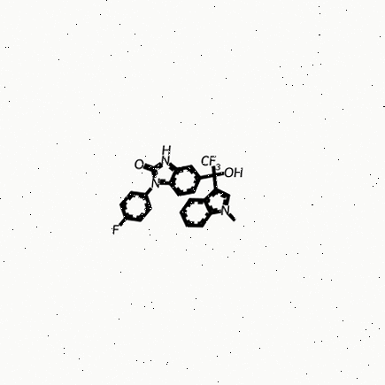 Cn1cc(C(O)(c2ccc3c(c2)[nH]c(=O)n3-c2ccc(F)cc2)C(F)(F)F)c2ccccc21